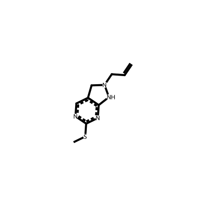 C=CCN1Cc2cnc(SC)nc2N1